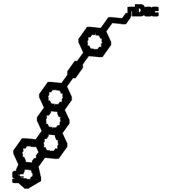 CCCCCCCCCCCCc1ccc(C#Cc2ccc3cc4c(ccc5c6ccsc6ccc45)cc3c2)cc1